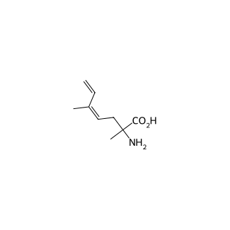 C=CC(C)=CCC(C)(N)C(=O)O